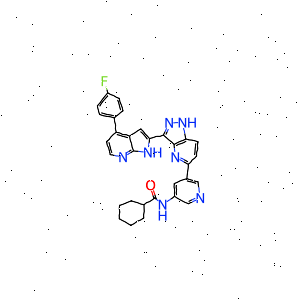 O=C(Nc1cncc(-c2ccc3[nH]nc(-c4cc5c(-c6ccc(F)cc6)ccnc5[nH]4)c3n2)c1)C1CCCCC1